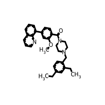 CCc1ccc(CN2CCN(C(=O)c3ccc(-c4cccc5cccnc45)cc3OC)CC2)c(CC)c1